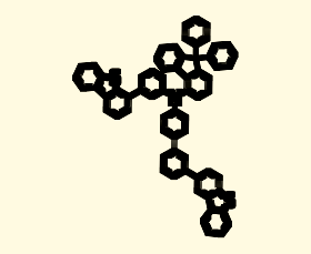 c1ccc(C2(c3ccccc3)c3ccccc3-c3c(N(c4ccc(-c5cccc(-c6ccc7sc8ccccc8c7c6)c5)cc4)c4cccc(-c5cccc6c5sc5ccccc56)c4)cccc32)cc1